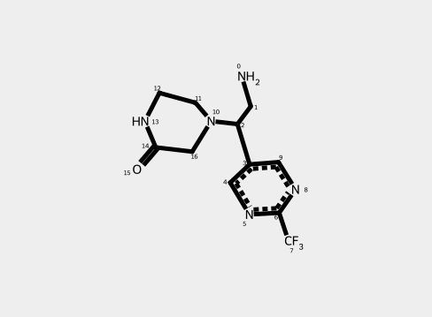 NCC(c1cnc(C(F)(F)F)nc1)N1CCNC(=O)C1